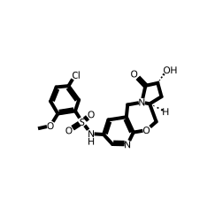 COc1ccc(Cl)cc1S(=O)(=O)Nc1cnc2c(c1)CN1C(=O)[C@H](O)C[C@H]1CO2